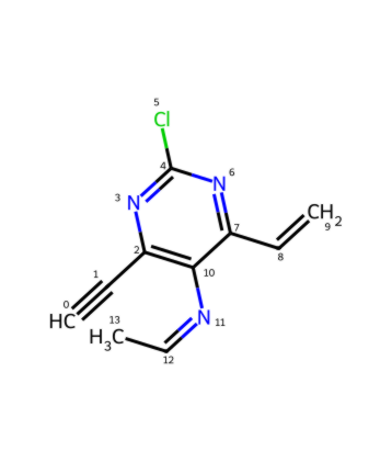 C#Cc1nc(Cl)nc(C=C)c1/N=C\C